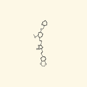 COc1cc(OCc2ccccn2)ccc1/C=C/c1cc(/C=C/c2ccc3c(c2)OCCO3)[nH]n1